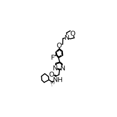 C[C@@H](NC(=O)Cc1ncc(-c2ccc(OCCN3CCOCC3)cc2F)cn1)C1CCCCC1